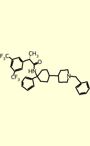 C[C@H](C(=O)NC1(c2ccccc2)CCC(C2CCN(Cc3ccccc3)CC2)CC1)c1cc(C(F)(F)F)cc(C(F)(F)F)c1